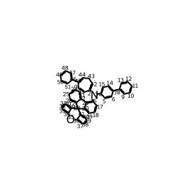 C1=CC(N(c2ccc(-c3ccccc3)cc2)c2cccc3c2-c2ccccc2C32c3ccccc3Oc3ccccc32)=CCC=C1c1ccccc1